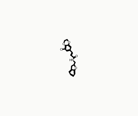 O=C(/C=C/c1cc(Cl)c2c(c1)OCCO2)NCC1Cc2ccccc2O1